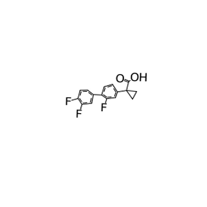 O=C(O)C1(c2ccc(-c3ccc(F)c(F)c3)c(F)c2)CC1